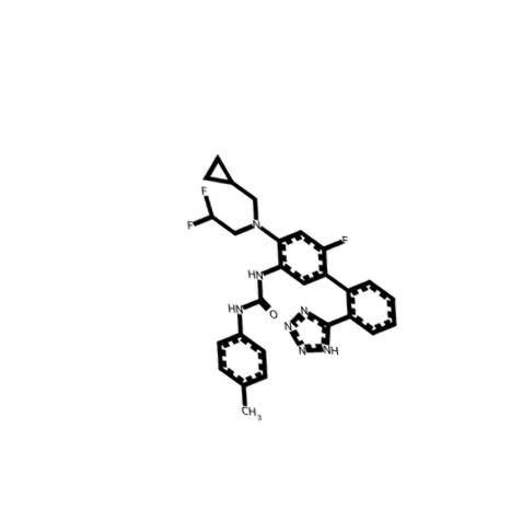 Cc1ccc(NC(=O)Nc2cc(-c3ccccc3-c3nnn[nH]3)c(F)cc2N(CC(F)F)CC2CC2)cc1